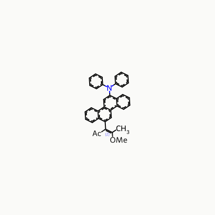 CO/C(C)=C(\C(C)=O)c1cc2c3ccccc3c(N(c3ccccc3)c3ccccc3)cc2c2ccccc12